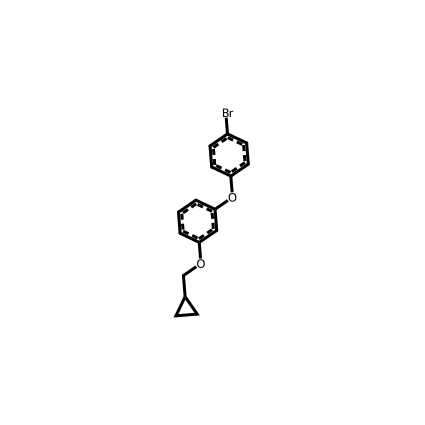 Brc1ccc(Oc2cccc(OCC3CC3)c2)cc1